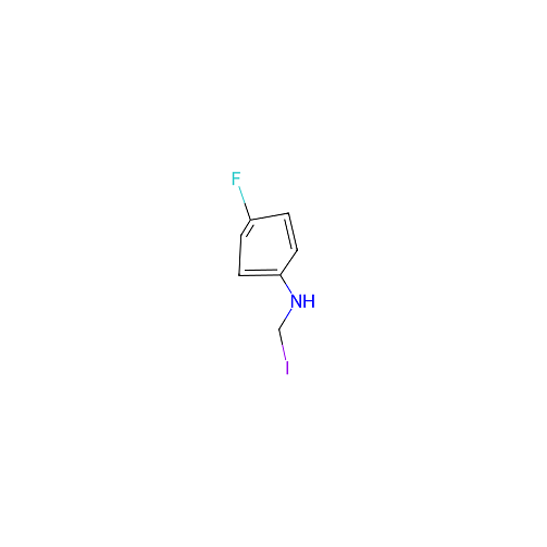 Fc1ccc(NCI)cc1